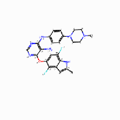 CCN1CCN(c2ccc(Nc3ncnc(Oc4cc(F)c5[nH]c(C)cc5c4F)c3N)cc2)CC1